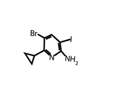 Nc1nc(C2CC2)c(Br)cc1I